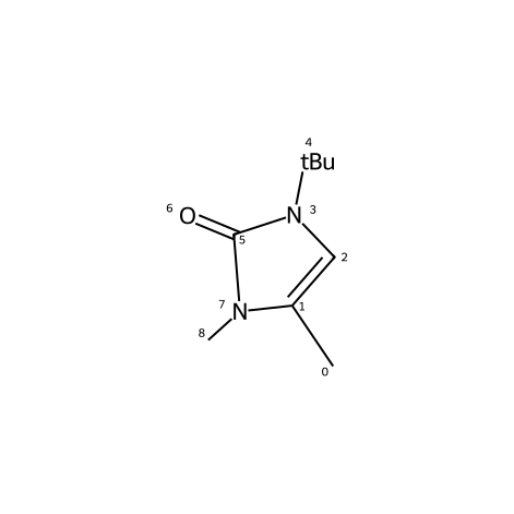 Cc1cn(C(C)(C)C)c(=O)n1C